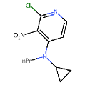 CCCN(c1ccnc(Cl)c1[N+](=O)[O-])C1CC1